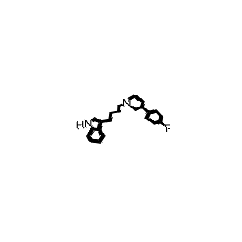 Fc1ccc(C2C=CCN(CCCCc3c[nH]c4ccccc34)C2)cc1